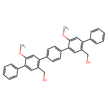 COc1cc(-c2ccc(-c3cc(CO)c(-c4ccccc4)cc3OC)cc2)c(CO)cc1-c1ccccc1